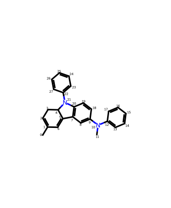 CC1=CCC2C(=C1)c1cc(N(C)c3ccccc3)ccc1N2c1ccccc1